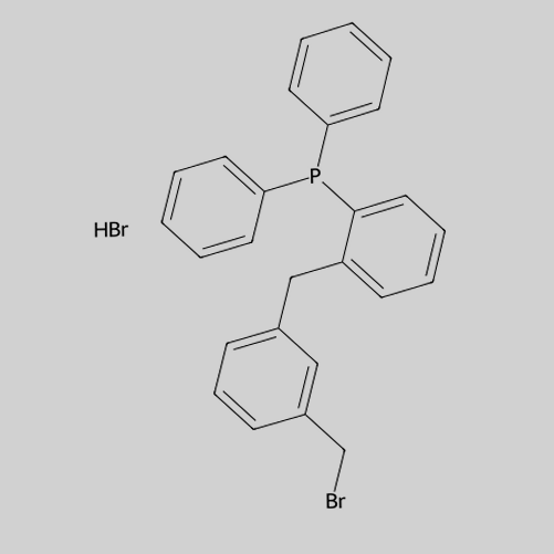 Br.BrCc1cccc(Cc2ccccc2P(c2ccccc2)c2ccccc2)c1